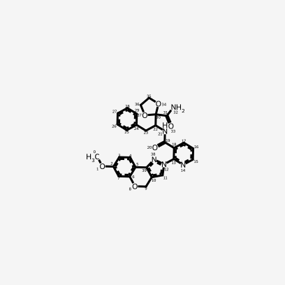 COc1ccc2c(c1)OCc1cn(-c3ncccc3C(=O)NC(Cc3ccccc3)C3(C(N)=O)OCCO3)nc1-2